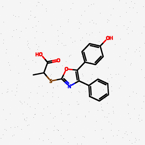 CC(Sc1nc(-c2ccccc2)c(-c2ccc(O)cc2)o1)C(=O)O